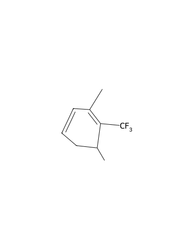 CC1=C(C(F)(F)F)C(C)CC=C1